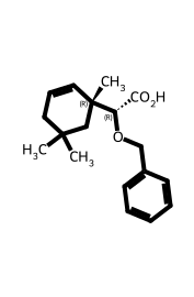 CC1(C)CC=C[C@](C)([C@@H](OCc2ccccc2)C(=O)O)C1